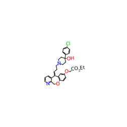 CCOC(=O)COc1ccc2c(c1)C(=CCCN1CCC(O)(c3ccc(Cl)cc3)CC1)c1cccnc1CO2